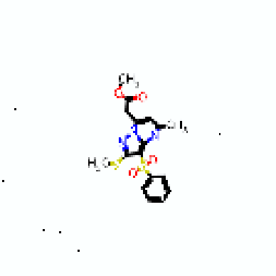 COC(=O)Cc1cc(C)nc2c(S(=O)(=O)c3ccccc3)c(SC)nn12